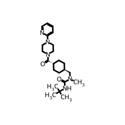 CN(C[C@H]1CC[C@H](C(=O)N2CCN(c3ccccn3)CC2)CC1)C(=O)NC(C)(C)C